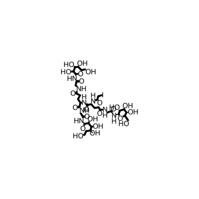 O=C(CCC(NC(=O)CI)C(=O)NC(CCC(=O)NCC(=O)N[C@@H]1OC(CO)[C@H](O)C(O)C1O)C(=O)NCC(=O)N[C@@H]1OC(CO)[C@H](O)C(O)C1O)NCC(=O)N[C@@H]1OC(CO)[C@H](O)C(O)C1O